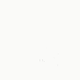 CCCCCC=CC(=O)C(N)C(=O)O